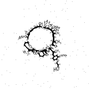 COC1CC2CCC(C)C(=O)C(O)(O2)C(=O)N2CCCCC2C(=O)OC(C(C)CC2CCC(OCCO)C(OC)C2)CC(=O)C(C)C=C(C)C(O)C(OC)C(=O)C(C)CC(C)C=CC=CC=C1C